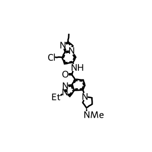 CCn1cc2c(N3CC[C@@H](NC)C3)ccc(C(=O)Nc3cc(Cl)c4nc(C)cn4c3)c2n1